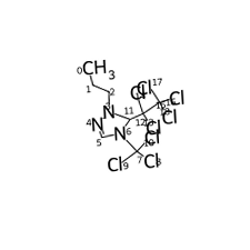 CCCN1N=CN(C(Cl)(Cl)Cl)C1C(Cl)(Cl)C(Cl)(Cl)Cl